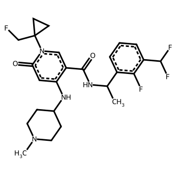 CC(NC(=O)c1cn(C2(CF)CC2)c(=O)cc1NC1CCN(C)CC1)c1cccc(C(F)F)c1F